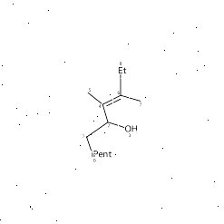 CCCC(C)CC(O)/C(C)=C(\C)CC